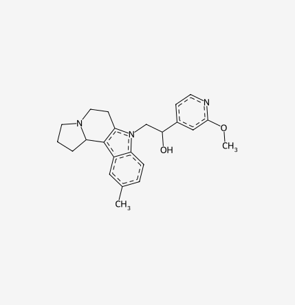 COc1cc(C(O)Cn2c3c(c4cc(C)ccc42)C2CCCN2CC3)ccn1